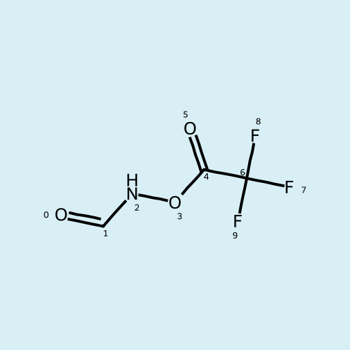 O=CNOC(=O)C(F)(F)F